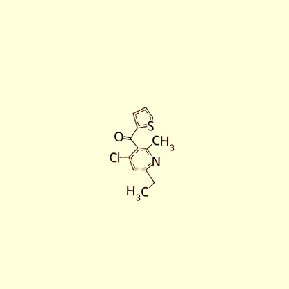 CCc1cc(Cl)c(C(=O)c2cccs2)c(C)n1